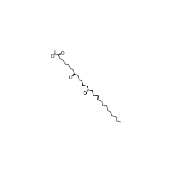 CCCCCCCCC/C=C/CCC(=O)CCCCCC(=O)CCCCCCC(=O)C(C)=O